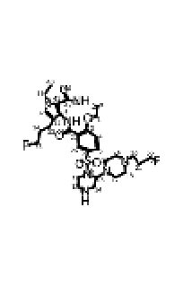 CCOc1ccc(S(=O)(=O)N2CCNCC2N2CCN(CCCF)CC2)cc1C(=O)Nc1c(CCCF)cn(CC)c1C(N)=O